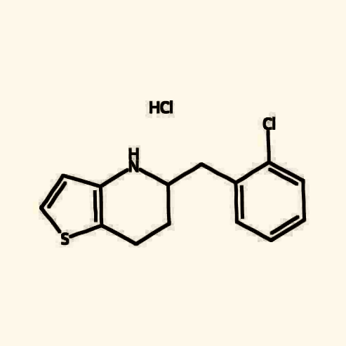 Cl.Clc1ccccc1CC1CCc2sccc2N1